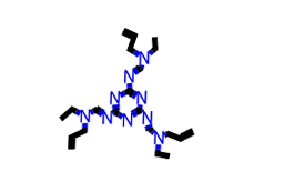 C=CCN(C=Nc1nc(N=CN(CC)CC=C)nc(N=CN(CC)CC=C)n1)CC